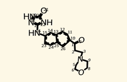 O=C(CCN1CCOCC1)c1ccc2cc(Nc3n[nH]c(=O)[nH]3)ccc2c1